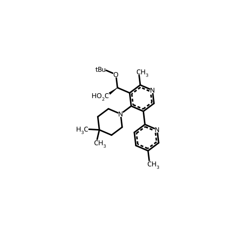 Cc1ccc(-c2cnc(C)c([C@H](OC(C)(C)C)C(=O)O)c2N2CCC(C)(C)CC2)nc1